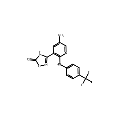 Nc1cnc(Nc2ccc(C(F)(F)F)cc2)c(-c2noc(=O)[nH]2)c1